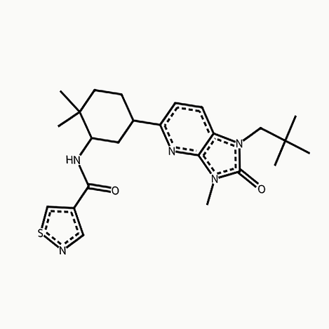 Cn1c(=O)n(CC(C)(C)C)c2ccc(C3CCC(C)(C)C(NC(=O)c4cnsc4)C3)nc21